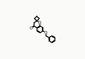 O=C1CC2(CCC2)Oc2cc(OCc3ccccc3)ccc21